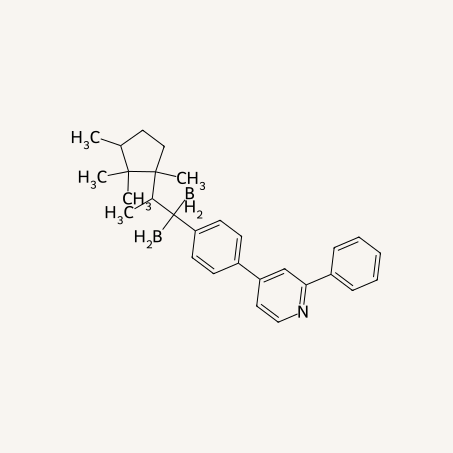 BC(B)(c1ccc(-c2ccnc(-c3ccccc3)c2)cc1)C(C)C1(C)CCC(C)C1(C)C